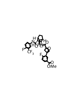 COC(=O)c1ccc(F)c(C23COC(C(=O)N[C@H]4[C@@H](C(=O)Nc5ccc(F)c(C(F)(F)F)c5)[C@H]5CC[C@@H]4/C5=C\C(F)(F)F)(C2)C3)c1